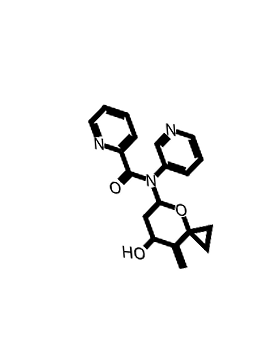 C=C1C(O)CC(N(C(=O)c2ccccn2)c2cccnc2)OC12CC2